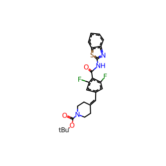 CC(C)(C)OC(=O)N1CCC(=Cc2cc(F)c(C(=O)Nc3nc4ccccc4s3)c(F)c2)CC1